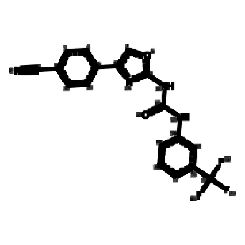 N#Cc1ccc(-c2coc(NC(=O)Nc3cccc(C(F)(F)F)c3)n2)cc1